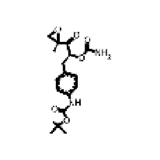 CC(C)(C)OC(=O)Nc1ccc(C[C@H](OC(N)=O)C(=O)[C@]2(C)CO2)cc1